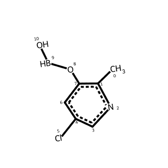 Cc1ncc(Cl)cc1OBO